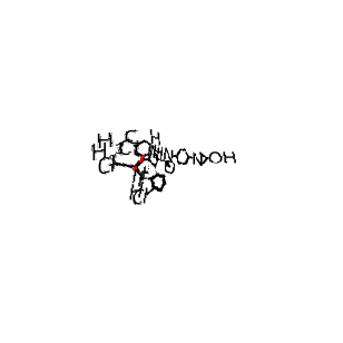 CC1(C)CCC2(CC1)N[C@@H](C(=O)NC1CCC(N3CC(O)C3)CC1)[C@H](c1cccc(Cl)c1F)[C@]21CNc2cc(Cl)ccc21